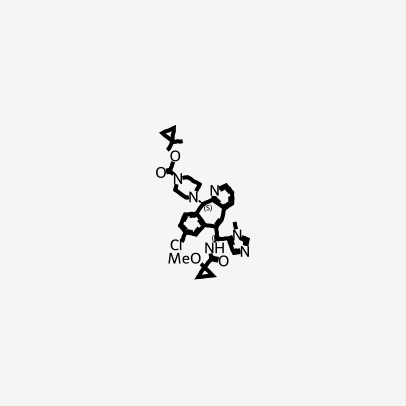 COC1(C(=O)N[C@H](C2=Cc3cccnc3[C@@H](N3CCN(C(=O)OCC4(C)CC4)CC3)c3ccc(Cl)cc32)c2cncn2C)CC1